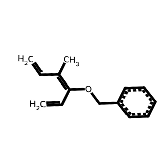 C=C/C(C)=C(\C=C)OCc1ccccc1